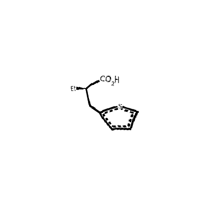 CC[C@H](Cc1cccs1)C(=O)O